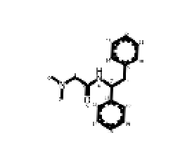 CN(C)CC(=O)NC(Cc1ccccc1)c1ccccc1